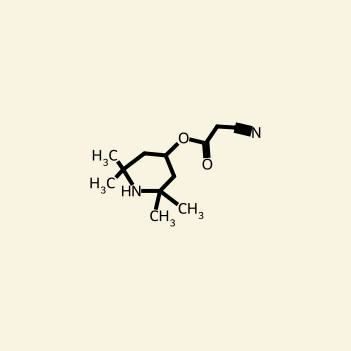 CC1(C)CC(OC(=O)CC#N)CC(C)(C)N1